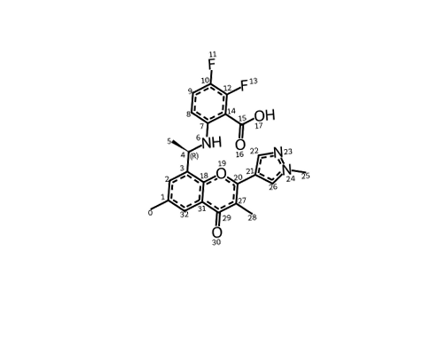 Cc1cc([C@@H](C)Nc2ccc(F)c(F)c2C(=O)O)c2oc(-c3cnn(C)c3)c(C)c(=O)c2c1